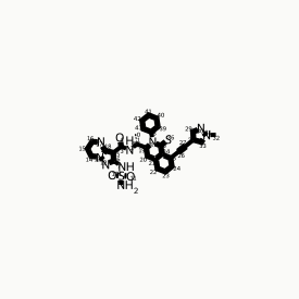 C[C@@H](NC(=O)c1c(NS(N)(=O)=O)nn2cccnc12)c1cc2cccc(C#Cc3cnn(C)c3)c2c(=S)n1-c1ccccc1